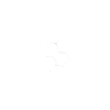 C=C(F)c1cccc(F)c1C(C)(C)C